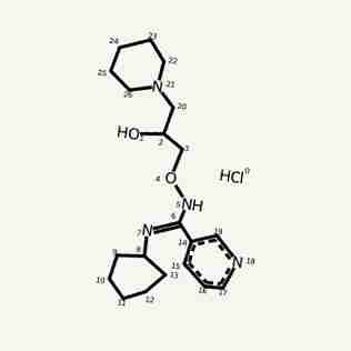 Cl.OC(CON/C(=N/C1CCCCC1)c1cccnc1)CN1CCCCC1